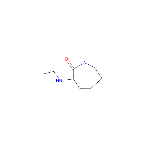 CCNC1CCCCNC1=O